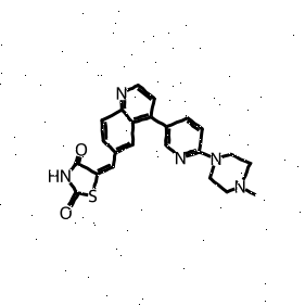 CN1CCN(c2ccc(-c3ccnc4ccc(C=C5SC(=O)NC5=O)cc34)cn2)CC1